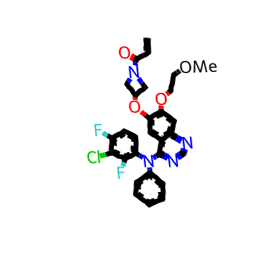 C=CC(=O)N1CC(Oc2cc3c(N(c4ccccc4)c4ccc(F)c(Cl)c4F)ncnc3cc2OCCOC)C1